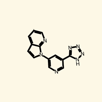 [c]1cnc2c(c1)ccn2-c1cncc(-c2nnn[nH]2)c1